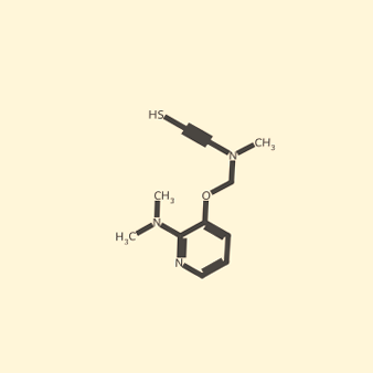 CN(C#CS)COc1cccnc1N(C)C